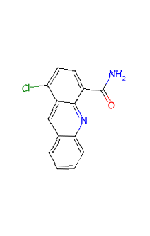 NC(=O)c1ccc(Cl)c2cc3ccccc3nc12